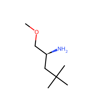 COC[C@@H](N)CC(C)(C)C